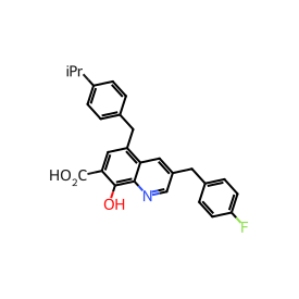 CC(C)c1ccc(Cc2cc(C(=O)O)c(O)c3ncc(Cc4ccc(F)cc4)cc23)cc1